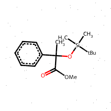 COC(=O)C(C)(O[Si](C)(C)C(C)(C)C)c1ccccc1